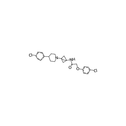 O=C(COc1ccc(Cl)cc1)NC12CC(N3CCC(c4ccc(Cl)cc4)CC3)(C1)C2